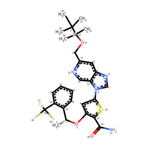 C[C@@H](Oc1cc(-n2cnc3cc(CO[Si](C)(C)C(C)(C)C)ncc32)sc1C(N)=O)c1ccccc1C(F)(F)F